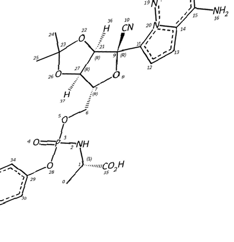 C[C@H](NP(=O)(OC[C@H]1O[C@@](C#N)(c2ccc3c(N)ncnn23)[C@@H]2OC(C)(C)O[C@@H]21)Oc1ccccc1)C(=O)O